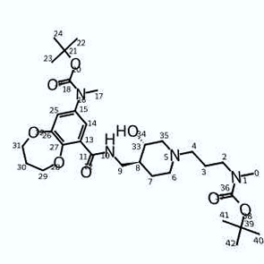 CN(CCCN1CC[C@@H](CNC(=O)c2cc(N(C)C(=O)OC(C)(C)C)cc3c2OCCCO3)[C@H](O)C1)C(=O)OC(C)(C)C